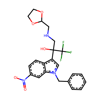 O=[N+]([O-])c1ccc2c(C(O)(CNCC3OCCO3)C(F)(F)F)cn(Cc3ccccc3)c2c1